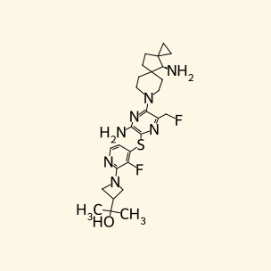 CC(C)(O)C1CN(c2nccc(Sc3nc(CF)c(N4CCC5(CC4)CCC4(CC4)[C@H]5N)nc3N)c2F)C1